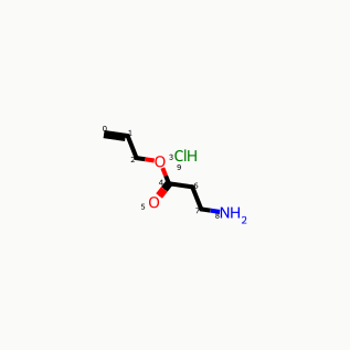 C=CCOC(=O)CCN.Cl